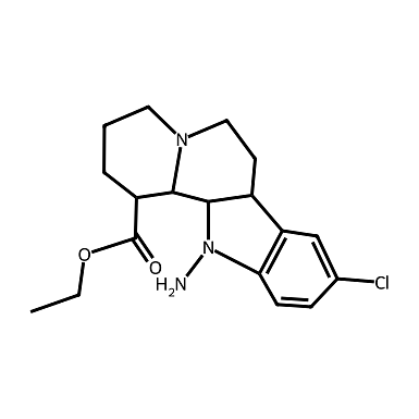 CCOC(=O)C1CCCN2CCC3c4cc(Cl)ccc4N(N)C3C12